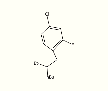 CCCCC(CC)Cc1ccc(Cl)cc1F